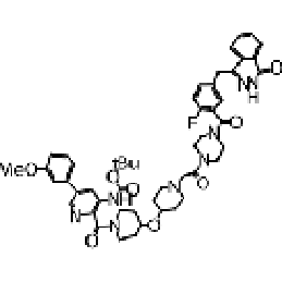 COc1cccc(-c2cnc(C(=O)N3CCC(OC4CCN(CC(=O)N5CCN(C(=O)c6cc(Cc7n[nH]c(=O)c8ccccc78)ccc6F)CC5)CC4)CC3)c(NC(=O)OC(C)(C)C)c2)c1